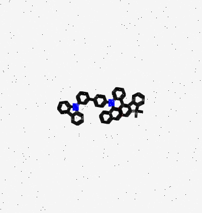 CC1(C)c2ccccc2-c2c(-c3ccccc3N(c3ccc(-c4cccc(-n5c6ccccc6c6ccccc65)c4)cc3)c3cccc4ccccc34)cccc21